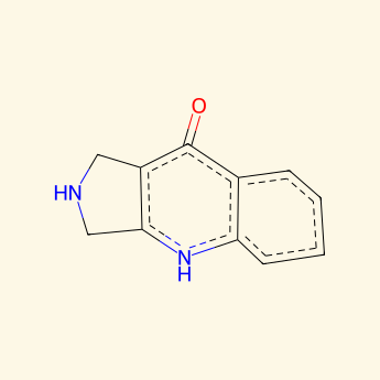 O=c1c2c([nH]c3ccccc13)CNC2